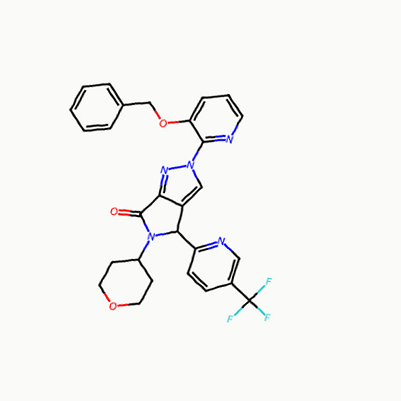 O=C1c2nn(-c3ncccc3OCc3ccccc3)cc2C(c2ccc(C(F)(F)F)cn2)N1C1CCOCC1